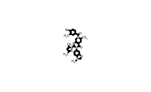 Cc1cc(C)n(-c2nc3c(c(=O)n2-c2ccc4c(c2)ncn4C)CC(C)N(C(=O)c2ccc(Br)c(C)c2)C3)n1